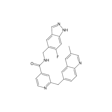 Cc1cnc2ccc(Cc3cc(C(=O)NCc4cc5cn[nH]c5cc4F)ccn3)cc2c1